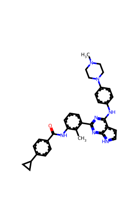 Cc1c(NC(=O)c2ccc(C3CC3)cc2)cccc1-c1nc(Nc2ccc(N3CCN(C)CC3)cc2)c2cc[nH]c2n1